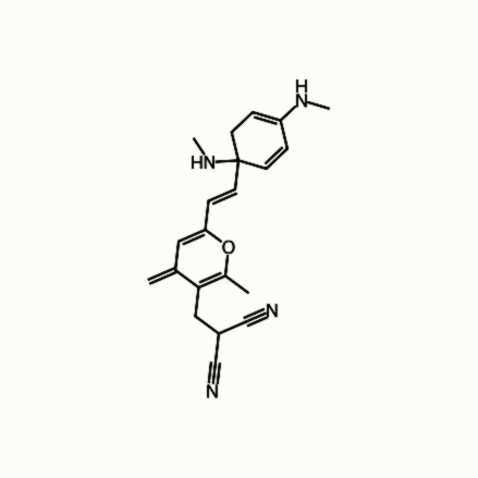 C=C1C=C(C=CC2(NC)C=CC(NC)=CC2)OC(C)=C1CC(C#N)C#N